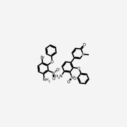 Cn1cc(-c2ccc(N)c([N+](=O)[O-])c2Oc2ccccc2)ccc1=O.Nc1ccc(Br)c(Oc2ccccc2)c1[N+](=O)[O-]